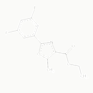 CCOC(=O)c1nc(-c2cc(F)cc(F)c2)oc1C